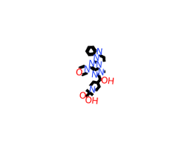 CCc1nc2ccccc2n1-c1nc(N2CCOCC2)c2nc(C(O)C3CCN(C(C)(C)C(=O)O)CC3)n(C)c2n1